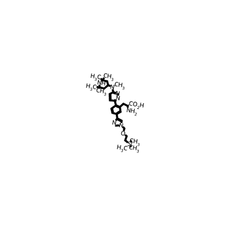 CN(c1ccc(-c2ccc(-c3cn(COCC[Si](C)(C)C)cn3)cc2C[C@H](N)C(=O)O)nn1)C1CC(C)(C)NC(C)(C)C1